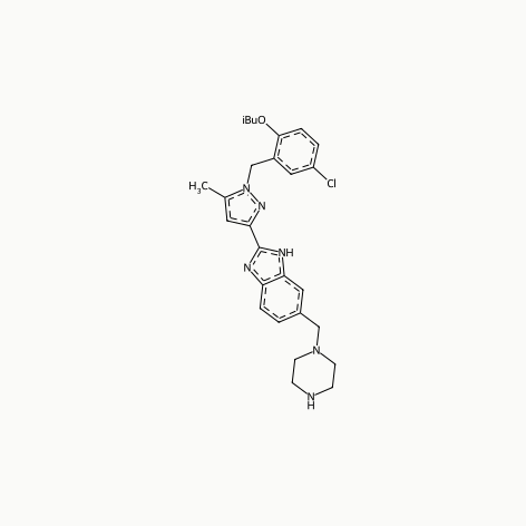 Cc1cc(-c2nc3ccc(CN4CCNCC4)cc3[nH]2)nn1Cc1cc(Cl)ccc1OCC(C)C